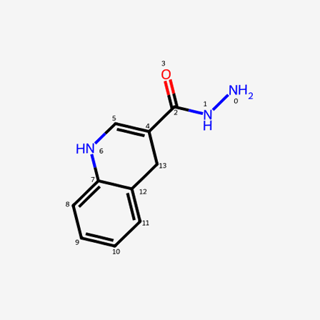 NNC(=O)C1=CNc2ccccc2C1